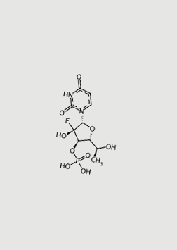 C[C@H](O)[C@H]1O[C@@H](n2ccc(=O)[nH]c2=O)[C@@](O)(F)[C@@H]1OP(=O)(O)O